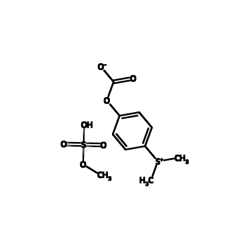 COS(=O)(=O)O.C[S+](C)c1ccc(OC(=O)[O-])cc1